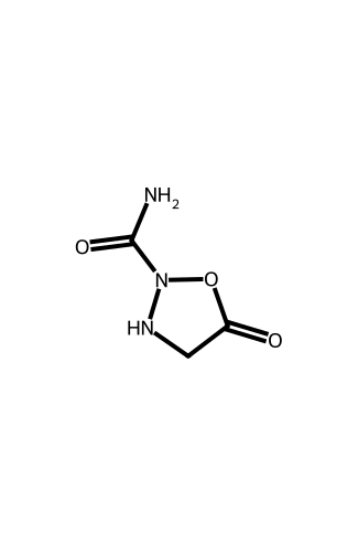 NC(=O)N1NCC(=O)O1